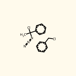 CC(Cl)(N=[N+]=[N-])c1ccccc1.ClCc1ccccc1